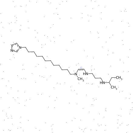 CCC(C)NCCCN/C=C\N(C)CCCCCCCCCCCCn1ccnc1